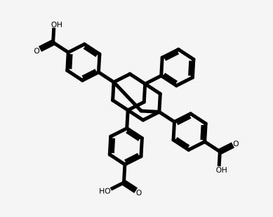 O=C(O)c1ccc(C23CC4(c5ccccc5)CC(c5ccc(C(=O)O)cc5)(C2)CC(c2ccc(C(=O)O)cc2)(C4)C3)cc1